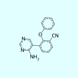 N#Cc1cccc(-c2cncnc2N)c1Oc1ccccc1